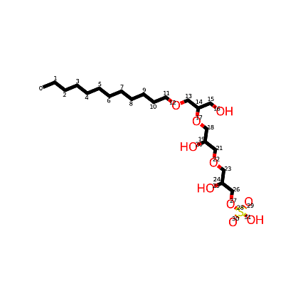 CCCCCCCCCCCCOCC(CO)OCC(O)COCC(O)COS(=O)(=O)O